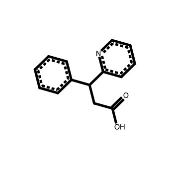 O=C(O)CC(c1ccccc1)c1ccccn1